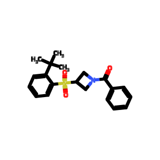 CC(C)(C)c1ccccc1S(=O)(=O)C1CN(C(=O)c2ccccc2)C1